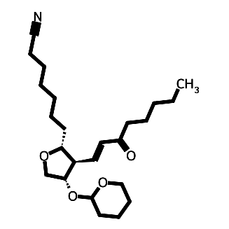 CCCCCC(=O)C=C[C@@H]1[C@@H](CCCCCCC#N)OC[C@H]1OC1CCCCO1